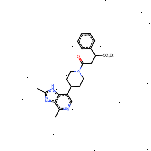 CCOC(=O)C(CC(=O)N1CCC(c2cnc(C)c3nc(C)[nH]c23)CC1)c1ccccc1